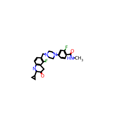 CNC(=O)c1ccc(N2CCN(Cc3ccc4c(c3F)CC(=O)C(C3CC3)=N4)CC2)cc1F